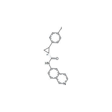 O=C(Nc1ccc2cnccc2c1)[C@@H]1CC1c1ccc(I)cc1